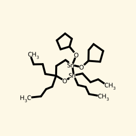 CCCCC1(CCCC)C[CH2][Sn]([O]C2CCCC2)([O]C2CCCC2)[Sn]([CH2]CCC)([CH2]CCC)[O]1